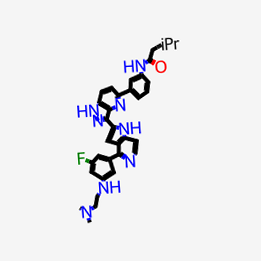 CC(C)CC(=O)Nc1cccc(-c2ccc3[nH]nc(-c4cc5c(-c6cc(F)cc(NCCN(C)C)c6)nccc5[nH]4)c3n2)c1